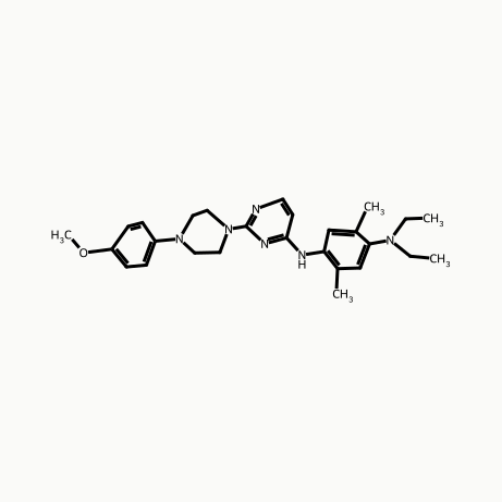 CCN(CC)c1cc(C)c(Nc2ccnc(N3CCN(c4ccc(OC)cc4)CC3)n2)cc1C